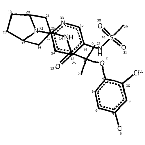 CC(C)(Oc1ccc(Cl)cc1Cl)C(=O)NC1CC2CCC(C1)N2c1ccc(NS(C)(=O)=O)cn1